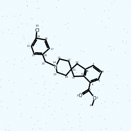 COC(=O)c1cccc2c1CC1(CCN(Cc3ccc(Cl)cc3)CC1)C2